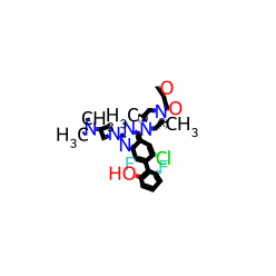 C[C@@H]1CN(c2nc(N3CC(N(C)C)C3)nc3c(F)c(-c4c(O)cccc4F)c(Cl)cc23)[C@@H](C)CN1C(=O)C1CO1